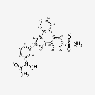 NC(=O)N(O)c1cccc(-c2cc(-c3ccccc3)n(-c3ccc(S(N)(=O)=O)cc3)n2)c1